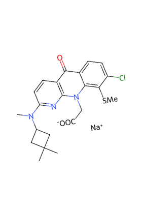 CSc1c(Cl)ccc2c(=O)c3ccc(N(C)C4CC(C)(C)C4)nc3n(CC(=O)[O-])c12.[Na+]